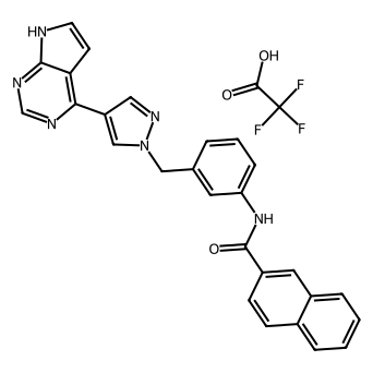 O=C(Nc1cccc(Cn2cc(-c3ncnc4[nH]ccc34)cn2)c1)c1ccc2ccccc2c1.O=C(O)C(F)(F)F